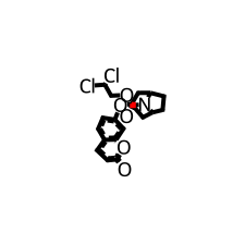 O=C(OCC(Cl)Cl)N1C2CCC1CC(Oc1ccc3ccc(=O)oc3c1)C2